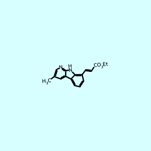 CCOC(=O)/C=C/c1cccc2c1[nH]c1ncc(C)cc12